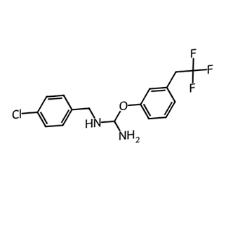 NC(NCc1ccc(Cl)cc1)Oc1cccc(CC(F)(F)F)c1